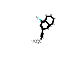 O=C(O)C#Cc1cc(F)c2c(c1)CCCC2